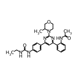 CCNC(=O)Nc1ccc(-c2cc(-c3ccccc3NC(C)=O)nc(N3CCOCC3C)n2)cc1